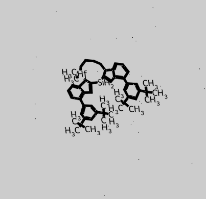 CC(C)(C)c1cc(-c2cccc3c2C=C2[SiH2]C4=Cc5c(-c6cc(C(C)(C)C)cc(C(C)(C)C)c6)cccc5[CH]4[Hf]([CH3])([CH3])[CH2]CCCC23)cc(C(C)(C)C)c1